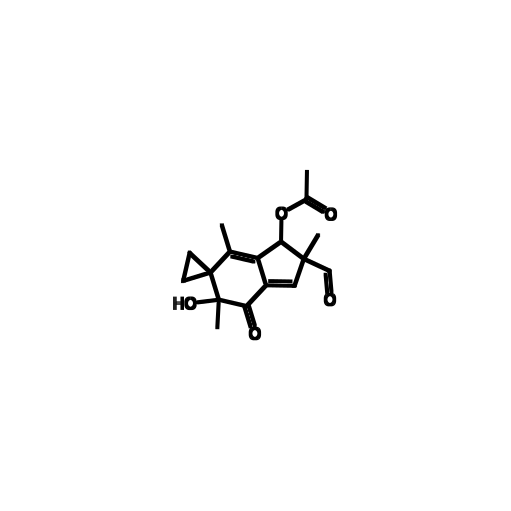 CC(=O)OC1C2=C(C)C3(CC3)C(C)(O)C(=O)C2=CC1(C)C=O